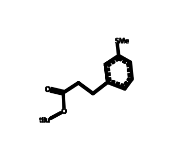 CSc1cccc(CCC(=O)OC(C)(C)C)c1